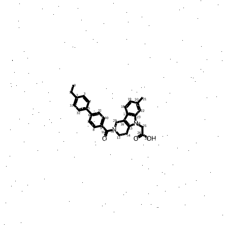 CCc1ccc(-c2ccc(C(=O)N3CCc4c(c5ccc(C)cc5n4CC(=O)O)C3)cc2)cc1